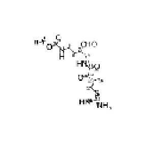 CCCOC(=O)NCC[C@@H](C=O)CNC(=O)C(=O)/C(C)=C/SC(=N)N